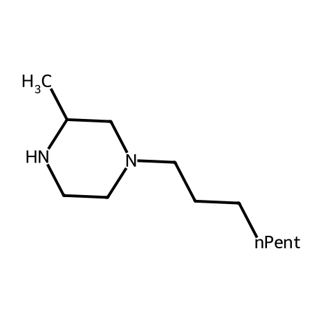 CCCCCCCCN1CCNC(C)C1